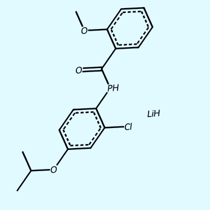 COc1ccccc1C(=O)Pc1ccc(OC(C)C)cc1Cl.[LiH]